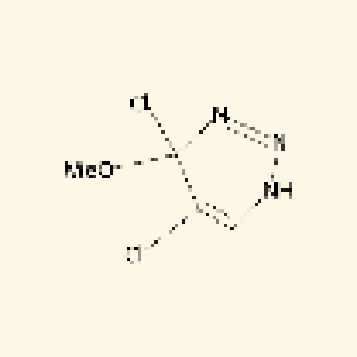 COC1(Cl)N=NNC=C1Cl